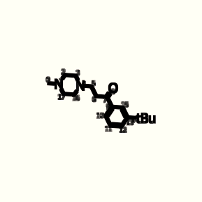 CN1CCN(CCC(=O)c2cccc(C(C)(C)C)c2)CC1